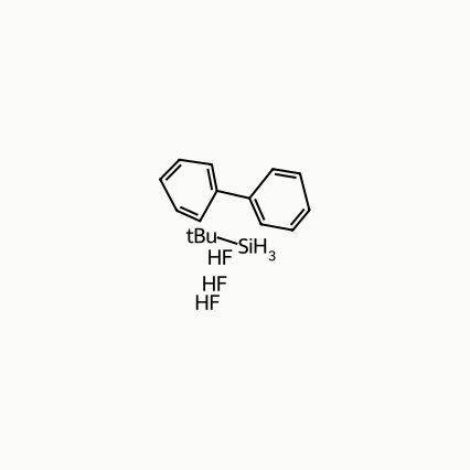 CC(C)(C)[SiH3].F.F.F.c1ccc(-c2ccccc2)cc1